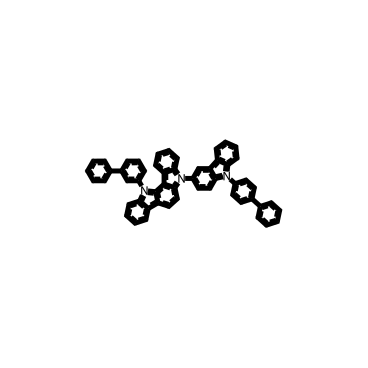 c1ccc(-c2ccc(-n3c4ccccc4c4cc(-n5c6ccccc6c6c5ccc5c7ccccc7n(-c7cccc(-c8ccccc8)c7)c56)ccc43)cc2)cc1